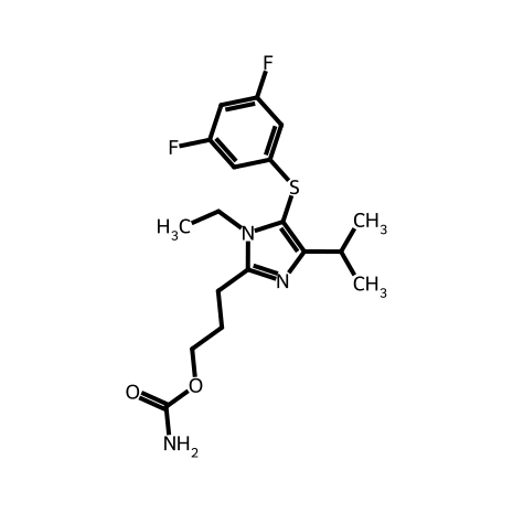 CCn1c(CCCOC(N)=O)nc(C(C)C)c1Sc1cc(F)cc(F)c1